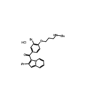 CC(C)c1cc2ccccn2c1C(=O)c1ccc(OCCCNC(C)(C)C)c(Br)c1.Cl